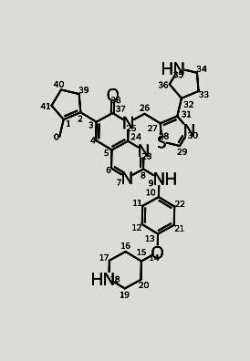 CC1=C(c2cc3cnc(Nc4ccc(OC5CCNCC5)cc4)nc3n(Cc3scnc3C3CCNC3)c2=O)CCC1